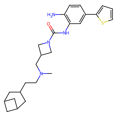 CN(CCC1CC2CC(C1)C2)CC1CN(C(=O)Nc2cc(-c3cccs3)ccc2N)C1